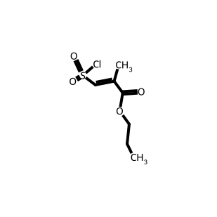 CCCOC(=O)C(C)=CS(=O)(=O)Cl